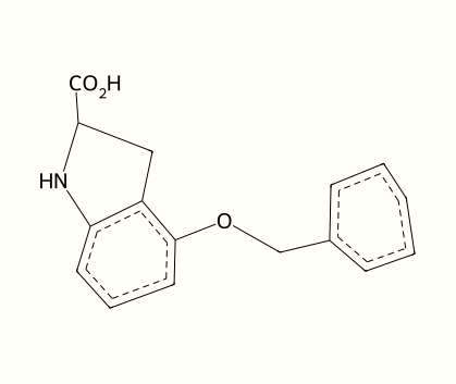 O=C(O)C1Cc2c(cccc2OCc2ccccc2)N1